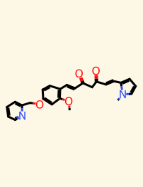 COc1cc(OCc2ccccn2)ccc1C=CC(=O)CC(=O)C=Cc1cccn1C